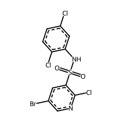 O=S(=O)(Nc1cc(Cl)ccc1Cl)c1cc(Br)cnc1Cl